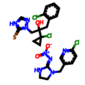 O=[N+]([O-])/N=C1\NCCN1Cc1ccc(Cl)nc1.OC(Cc1ccccc1Cl)(Cn1nc[nH]c1=S)C1(Cl)CC1